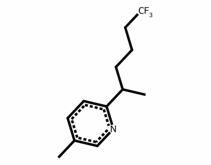 Cc1ccc(C(C)CCCC(F)(F)F)nc1